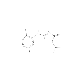 Cc1ccc(C)c(NC2=NC(=O)C(C(C)C)S2)c1